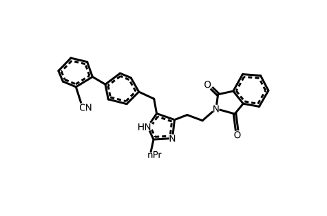 CCCc1nc(CCN2C(=O)c3ccccc3C2=O)c(Cc2ccc(-c3ccccc3C#N)cc2)[nH]1